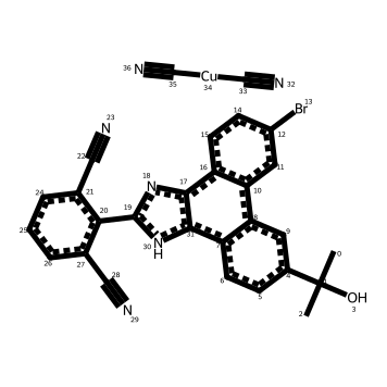 CC(C)(O)c1ccc2c(c1)c1cc(Br)ccc1c1nc(-c3c(C#N)cccc3C#N)[nH]c21.N#[C][Cu][C]#N